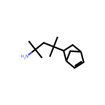 CC(C)(N)CC(C)(C)C1CC2C=CC1C2